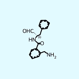 NCc1ccccc1C(=O)N[C@H](C=O)Cc1ccccc1